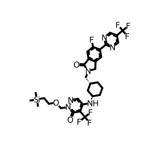 C[Si](C)(C)CCOCn1ncc(N[C@H]2CCC[C@@H](CN3Cc4cc(-c5ncc(C(F)(F)F)cn5)c(F)cc4C3=O)C2)c(C(F)(F)F)c1=O